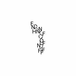 Fc1ccc(-c2ncc(-c3ccc(OCc4ncc(C(F)(F)F)cc4F)cc3F)[nH]2)cn1